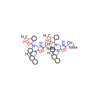 CNC(C)C(=O)N[C@H]1CN(C(=O)c2ccccc2[C@@H](C)O)c2ccccc2N(Cc2c(C)ccc3ccccc23)C1=O.CN[C@@H](C)C(=O)N[C@H]1CN(C(=O)c2ccccc2[C@H](C)O)c2ccccc2N(Cc2c(C)ccc3ccccc23)C1=O